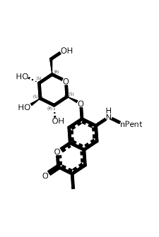 CCCCCNc1cc2cc(C)c(=O)oc2cc1O[C@@H]1O[C@H](CO)[C@@H](O)[C@H](O)[C@H]1O